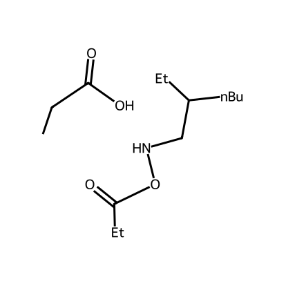 CCC(=O)O.CCCCC(CC)CNOC(=O)CC